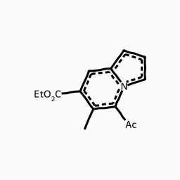 CCOC(=O)c1cc2cccn2c(C(C)=O)c1C